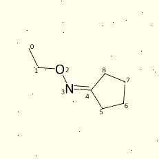 C[CH]ON=C1CCCC1